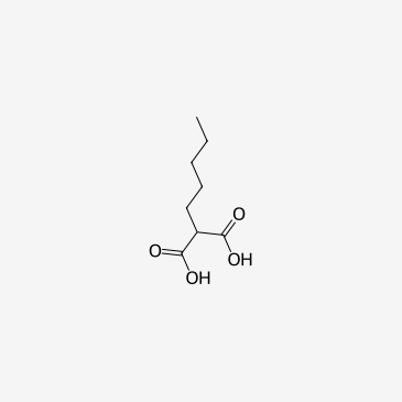 CCCCCC(C(=O)O)C(=O)O